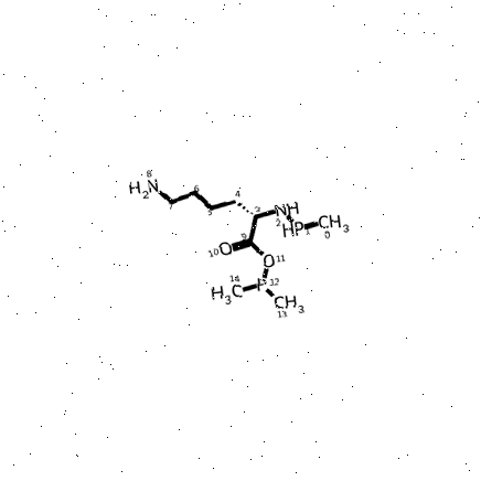 CPN[C@@H](CCCCN)C(=O)OP(C)C